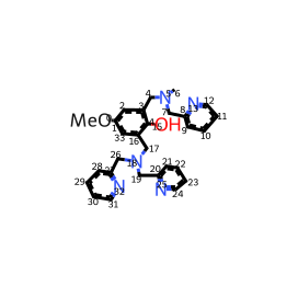 COc1cc(CN(C)Cc2ccccn2)c(O)c(CN(Cc2ccccn2)Cc2ccccn2)c1